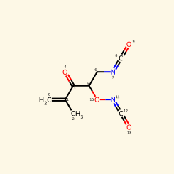 C=C(C)C(=O)C(CN=C=O)ON=C=O